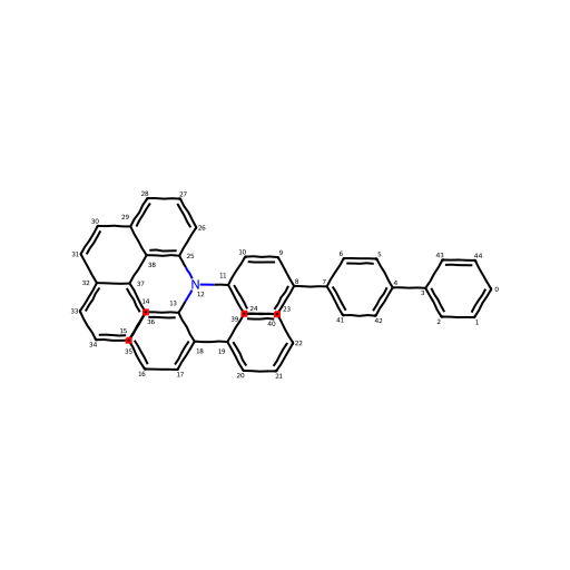 c1ccc(-c2ccc(-c3ccc(N(c4ccccc4-c4ccccc4)c4cccc5ccc6ccccc6c45)cc3)cc2)cc1